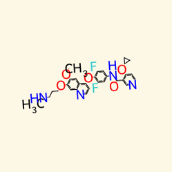 CNCCCOc1cc2nccc(Oc3c(F)cc(NC(=O)c4cnccc4OC4CC4)cc3F)c2cc1OC